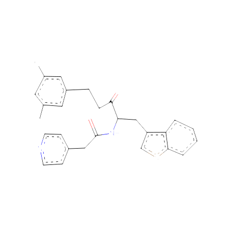 O=C(Cc1ccncc1)NC(Cc1csc2ccccc12)C(=O)CCc1cc(C(F)(F)F)cc(C(F)(F)F)c1